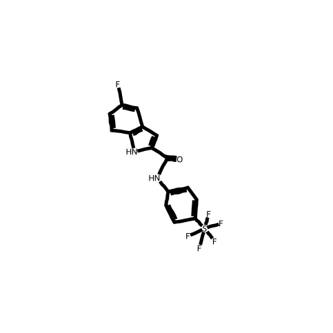 O=C(Nc1ccc(S(F)(F)(F)(F)F)cc1)c1cc2cc(F)ccc2[nH]1